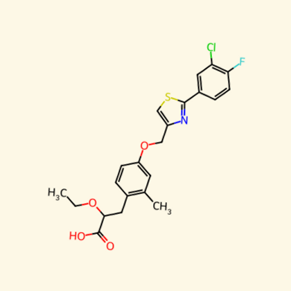 CCOC(Cc1ccc(OCc2csc(-c3ccc(F)c(Cl)c3)n2)cc1C)C(=O)O